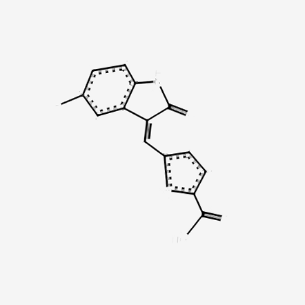 O=C1Nc2ccc(F)cc2C1=Cc1ccc(C(=O)O)[se]1